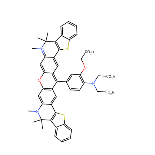 CN1c2cc3c(cc2-c2sc4ccccc4c2C1(C)C)C(c1ccc(N(CC(=O)O)CC(=O)O)c(OCC(=O)O)c1)=c1cc2c(cc1O3)=[N+](C)C(C)(C)c1c-2sc2ccccc12